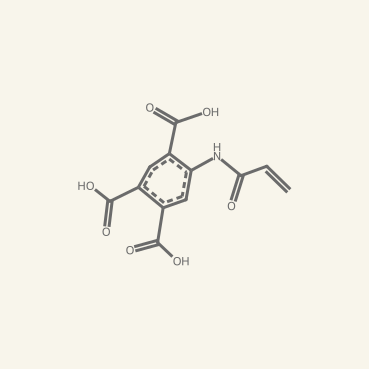 C=CC(=O)Nc1cc(C(=O)O)c(C(=O)O)cc1C(=O)O